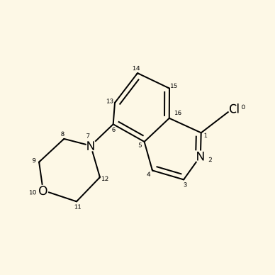 Clc1nccc2c(N3CCOCC3)cccc12